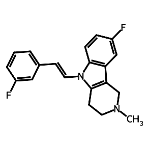 CN1CCc2c(c3cc(F)ccc3n2/C=C/c2cccc(F)c2)C1